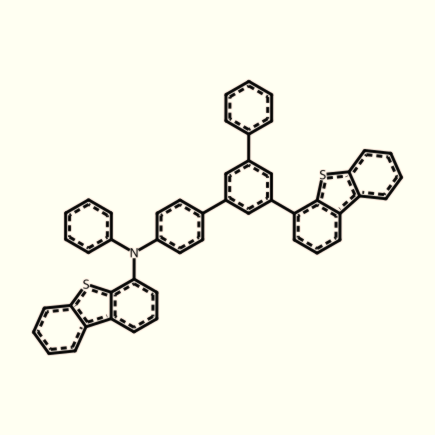 c1ccc(-c2cc(-c3ccc(N(c4ccccc4)c4cccc5c4sc4ccccc45)cc3)cc(-c3cccc4c3sc3ccccc34)c2)cc1